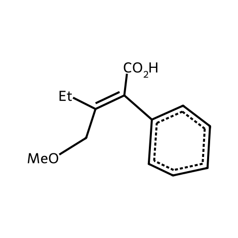 CCC(COC)=C(C(=O)O)c1ccccc1